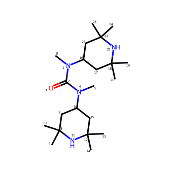 CN(C(=O)N(C)C1CC(C)(C)NC(C)(C)C1)C1CC(C)(C)NC(C)(C)C1